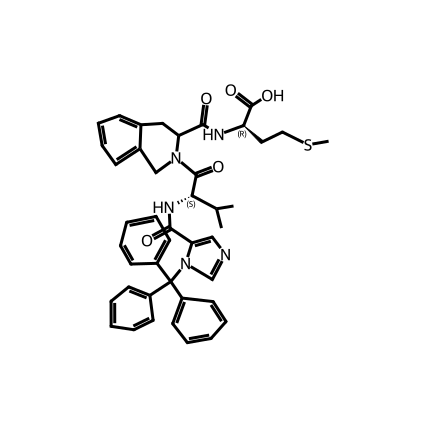 CSCC[C@@H](NC(=O)C1Cc2ccccc2CN1C(=O)[C@@H](NC(=O)c1cncn1C(c1ccccc1)(c1ccccc1)c1ccccc1)C(C)C)C(=O)O